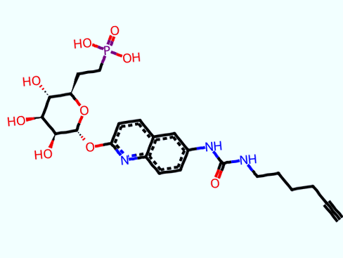 C#CCCCCNC(=O)Nc1ccc2nc(O[C@H]3O[C@H](CCP(=O)(O)O)[C@@H](O)[C@H](O)[C@@H]3O)ccc2c1